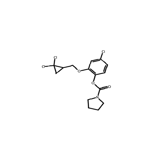 O=C(Oc1ccc(Cl)cc1OCC1CC1(Cl)Cl)N1CCCC1